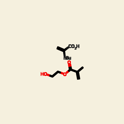 C=C(C)C(=O)OCCO.C=C(CCCC)C(=O)O